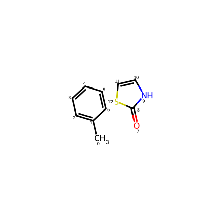 Cc1ccccc1.O=c1[nH]ccs1